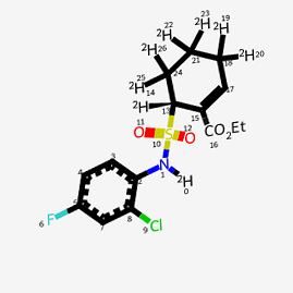 [2H]N(c1ccc(F)cc1Cl)S(=O)(=O)[C@@]1([2H])C(C(=O)OCC)=CC([2H])([2H])C([2H])([2H])C1([2H])[2H]